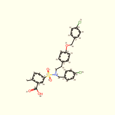 Cc1ccc(S(=O)(=O)N(CCc2ccc(OCc3ccc(Cl)cc3)cc2)Cc2ccc(Cl)cc2)cc1C(=O)O